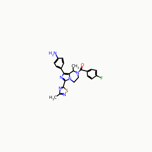 Cc1nsc(-c2nc(-c3ccc(N)cc3)c3n2CCN(C(=O)c2ccc(F)cc2)C3C)n1